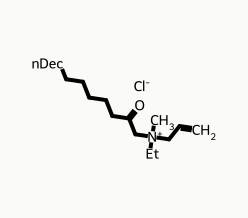 C=CC[N+](C)(CC)CC(=O)CCCCCCCCCCCCCCC.[Cl-]